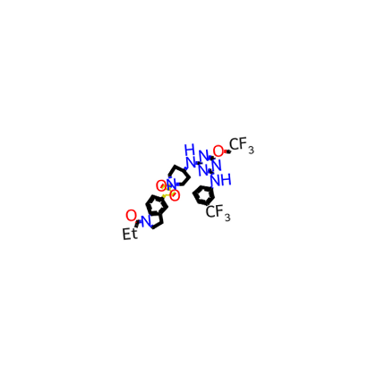 CCC(=O)N1CCc2cc(S(=O)(=O)N3CCC(Nc4nc(Nc5cccc(C(F)(F)F)c5)nc(OCC(F)(F)F)n4)CC3)ccc21